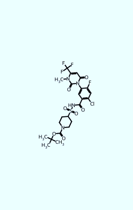 Cn1c(C(F)(F)F)cc(=O)n(-c2cc(C(=O)NS(=O)(=O)C3CCN(C(=O)OC(C)(C)C)CC3)c(Cl)cc2F)c1=O